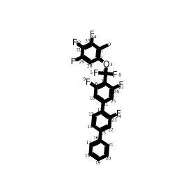 Cc1c(OC(F)(F)c2c(F)cc(-c3ccc(-c4ccccc4)cc3F)cc2F)cc(F)c(F)c1F